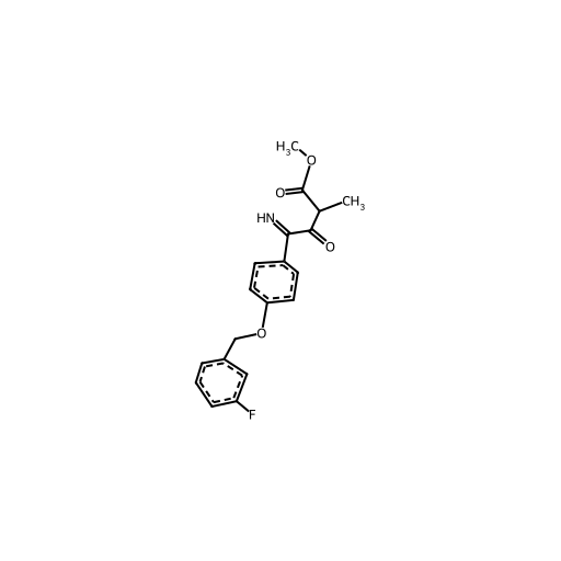 COC(=O)C(C)C(=O)C(=N)c1ccc(OCc2cccc(F)c2)cc1